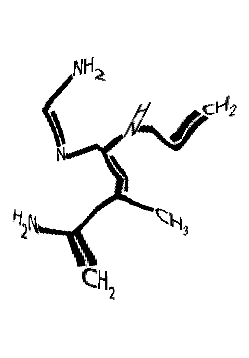 C=CNC(/N=C\N)=C(\C)C(=C)N